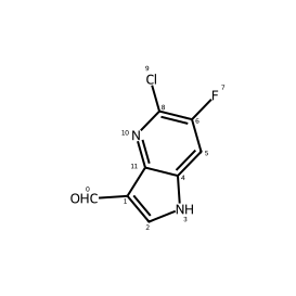 O=Cc1c[nH]c2cc(F)c(Cl)nc12